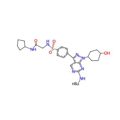 CCCCNc1ncc2c(-c3ccc(S(=O)(=O)NCC(=O)NC4CCCC4)cc3)nn(C3CCC(O)CC3)c2n1